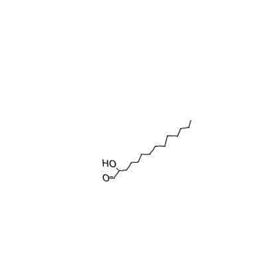 CCCCCCCCCCCCC(O)C=O